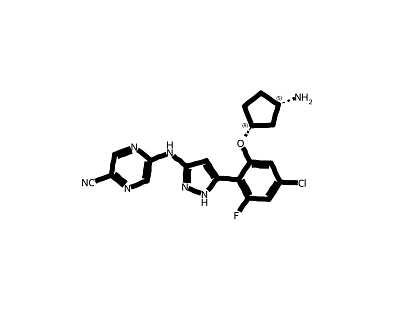 N#Cc1cnc(Nc2cc(-c3c(F)cc(Cl)cc3O[C@@H]3CC[C@H](N)C3)[nH]n2)cn1